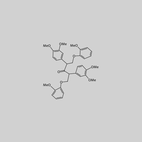 COc1ccc(C(COc2ccccc2OC)C(=O)C(COc2ccccc2OC)c2ccc(OC)c(OC)c2)cc1OC